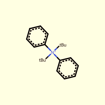 CC(C)(C)[N+](c1ccccc1)(c1ccccc1)C(C)(C)C